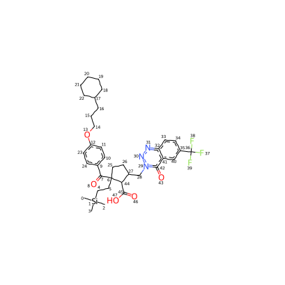 C[Si](C)(C)CCC1(C(=O)c2ccc(OCCCC3CCCCC3)cc2)CCC(Cn2nnc3ccc(C(F)(F)F)cc3c2=O)C1C(=O)O